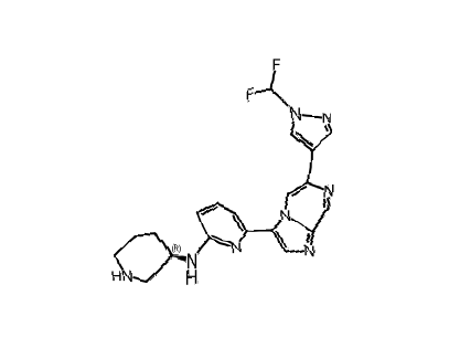 FC(F)n1cc(-c2cn3c(-c4cccc(N[C@@H]5CCCNC5)n4)cnc3cn2)cn1